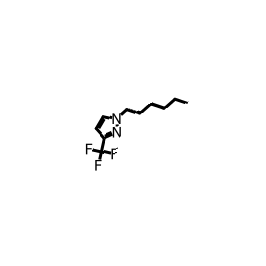 CCCCCCn1ccc(C(F)(F)F)n1